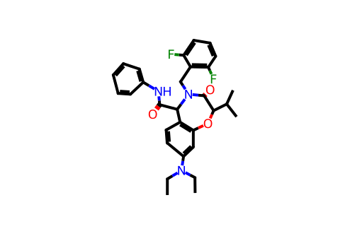 CCN(CC)c1ccc2c(c1)OC(C(C)C)C(=O)N(Cc1c(F)cccc1F)C2C(=O)Nc1ccccc1